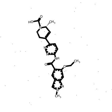 CCOc1cc2nn(C)cc2cc1C(=O)Nc1ccc(C2=C[C@@H](C)N(C(=O)O)CC2)nn1